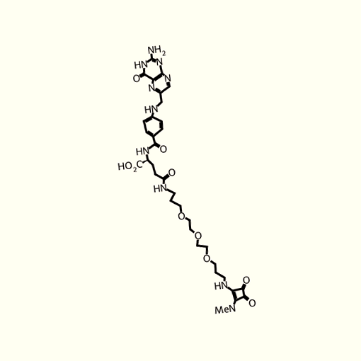 CNc1c(NCCCOCCOCCOCCCNC(=O)CC[C@H](NC(=O)c2ccc(NCc3cnc4nc(N)[nH]c(=O)c4n3)cc2)C(=O)O)c(=O)c1=O